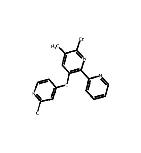 CCc1nc(-c2ccccn2)c(Oc2ccnc(Cl)c2)cc1C